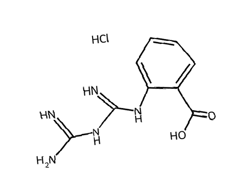 Cl.N=C(N)NC(=N)Nc1ccccc1C(=O)O